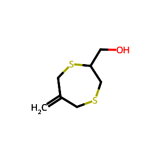 C=C1CSCC(CO)SC1